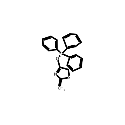 C=C1N=C(O[Si](c2ccccc2)(c2ccccc2)c2ccccc2)CS1